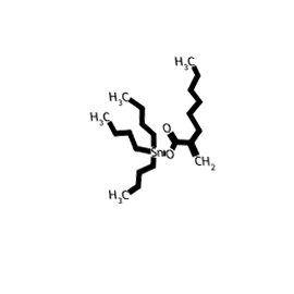 C=C(CCCCCC)C(=O)[O][Sn]([CH2]CCC)([CH2]CCC)[CH2]CCC